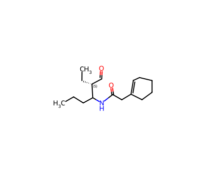 CCCC(NC(=O)CC1=CCCCC1)[C@@H](C=O)CC